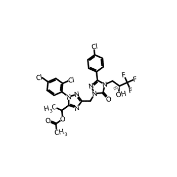 CC(=O)OC(C)c1nc(Cn2nc(-c3ccc(Cl)cc3)n(C[C@H](O)C(F)(F)F)c2=O)nn1-c1ccc(Cl)cc1Cl